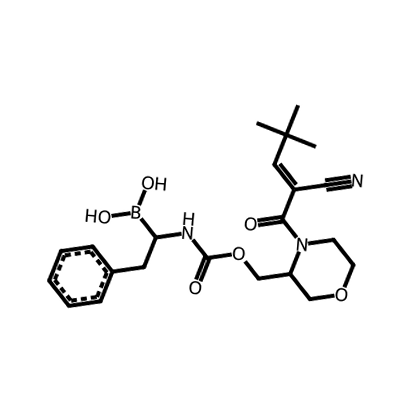 CC(C)(C)C=C(C#N)C(=O)N1CCOCC1COC(=O)NC(Cc1ccccc1)B(O)O